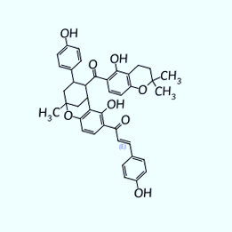 CC1(C)CCc2c(ccc(C(=O)C3C(c4ccc(O)cc4)CC4(C)CC3c3c(ccc(C(=O)/C=C/c5ccc(O)cc5)c3O)O4)c2O)O1